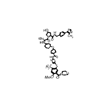 COc1cc(C)c(Sc2cnc(NC(=O)c3ccc(OC4CCCC(N[C@H](C(=O)N5C[C@H](O)CC5C(=O)NCc5ccc(-c6scnc6C)cc5)C(C)(C)C)CC4)cc3)s2)cc1C(=O)N1CCOCC1